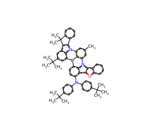 Cc1cc2c3c(c1)-n1c4c(ccc(N(c5ccc(C(C)(C)C)cc5)c5ccc(C(C)(C)C)cc5)c4c4oc5ccccc5c41)B3c1cc(C(C)(C)C)cc3c4c(n-2c13)-c1ccccc1C4(C)C